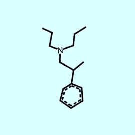 CCCN(CCC)CC(C)c1ccccc1